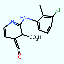 Cc1c(Cl)cccc1NC1=NC=CC(=C=O)C1C(=O)O